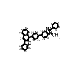 Cn1c(-c2ccccc2)nc2cc(-c3ccc(-c4c5ccccc5cc5c4oc4ccccc45)cc3)ccc21